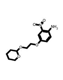 Nc1ccc(OCCOC2CCCCO2)cc1[N+](=O)[O-]